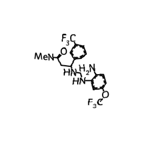 CNC(=O)CC(NCNc1cc(OC(F)(F)F)ccc1N)c1cccc(C(F)(F)F)c1